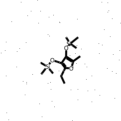 CCc1oc(C)c(O[Si](C)(C)C)c1O[Si](C)(C)C